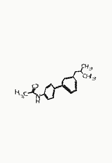 CC(=O)Nc1ccc(-c2cccc(CC(C)C)c2)cc1